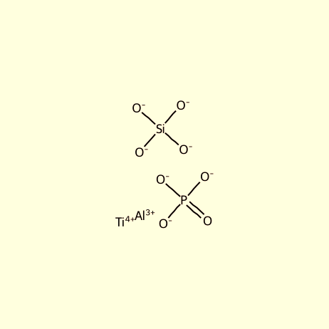 O=P([O-])([O-])[O-].[Al+3].[O-][Si]([O-])([O-])[O-].[Ti+4]